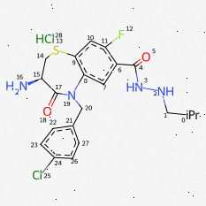 CC(C)CNNC(=O)c1cc2c(cc1F)SC[C@H](N)C(=O)N2Cc1ccc(Cl)cc1.Cl